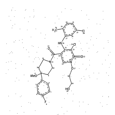 COC1(c2ccc(F)cc2)CCN(C(=O)c2cn(OCCO)c(=O)c(Cl)c2Nc2cc(Cl)ccc2C)CC1